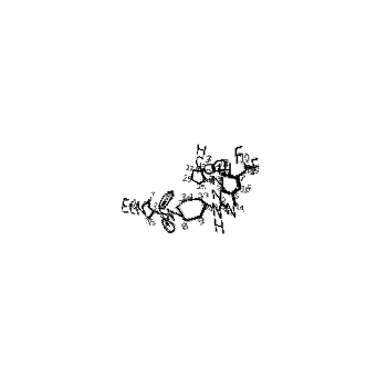 CCN1CC(S(=O)(=O)N2CCC(Nc3ncc4cc(C(F)F)c(=O)n([C@@H]5CCC[C@@]5(C)O)c4n3)CC2)C1